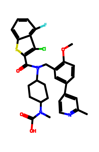 COc1ccc(-c2ccnc(C)c2)cc1CN(C(=O)c1sc2cccc(F)c2c1Cl)C1CCC(N(C)C(=O)O)CC1